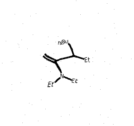 C=C(C(CC)CCCC)N(CC)CC